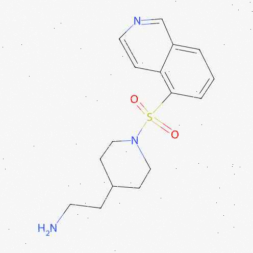 NCCC1CCN(S(=O)(=O)c2cccc3cnccc23)CC1